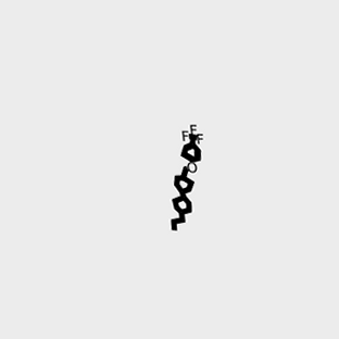 CCCC1CCC(C2CCC(COc3ccc(C(F)(F)F)cc3)CC2)CC1